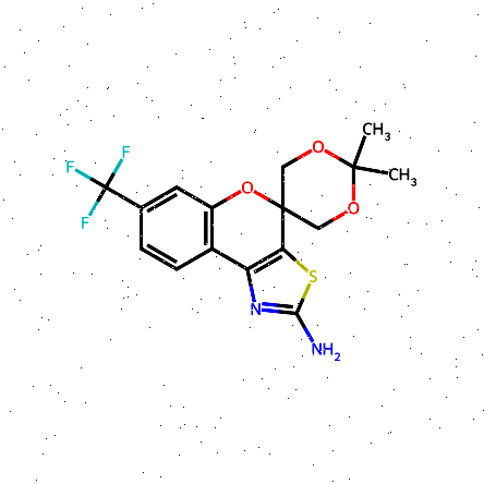 CC1(C)OCC2(CO1)Oc1cc(C(F)(F)F)ccc1-c1nc(N)sc12